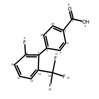 O=C(O)c1ccc(-c2c(F)cccc2C(F)(F)F)cc1